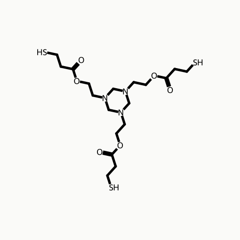 O=C(CCS)OCCN1CN(CCOC(=O)CCS)CN(CCOC(=O)CCS)C1